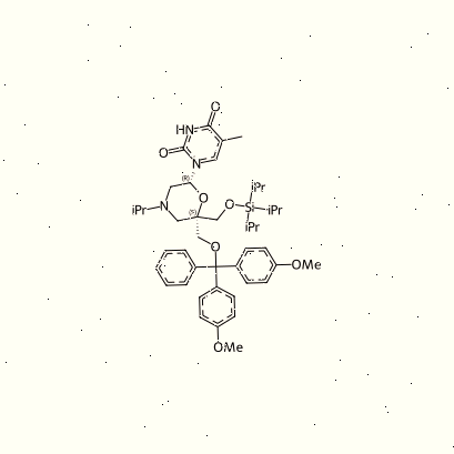 COc1ccc(C(OC[C@]2(CO[Si](C(C)C)(C(C)C)C(C)C)CN(C(C)C)C[C@H](n3cc(C)c(=O)[nH]c3=O)O2)(c2ccccc2)c2ccc(OC)cc2)cc1